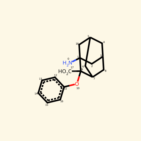 NC12CC3CC(CC(C3)C1(Oc1ccccc1)C(=O)O)C2